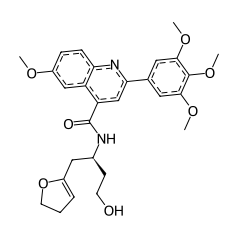 COc1ccc2nc(-c3cc(OC)c(OC)c(OC)c3)cc(C(=O)N[C@@H](CCO)CC3=CCCO3)c2c1